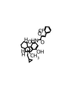 C[N+]1(CC2CC2)CC[C@]23c4c5c(O)cc(NC(=O)C(=Cc6ccccc6)OC(F)(F)F)c4O[C@H]2CCC[C@H]3[C@H]1C5